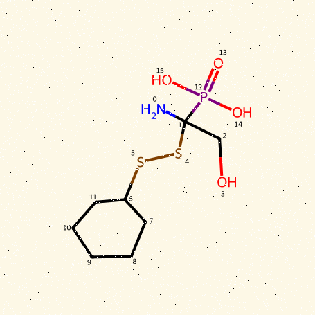 NC(CO)(SSC1CCCCC1)P(=O)(O)O